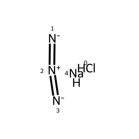 Cl.[N-]=[N+]=[N-].[NaH]